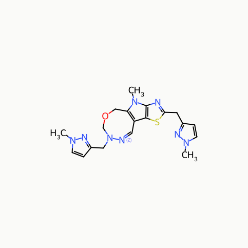 Cn1ccc(Cc2nc3c(s2)c2c(n3C)COCN(Cc3ccn(C)n3)/N=C\2)n1